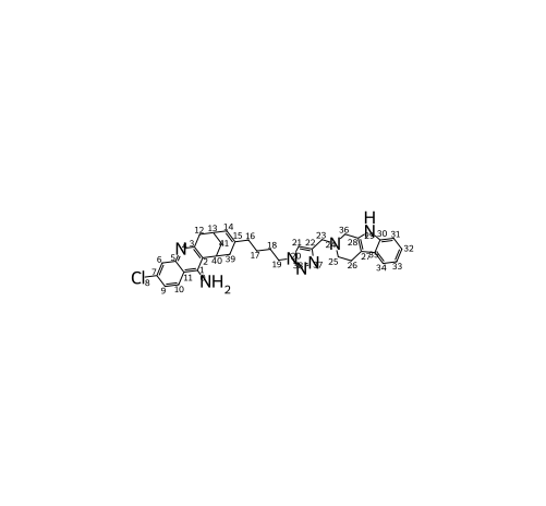 Nc1c2c(nc3cc(Cl)ccc13)CC1C=C(CCCCn3cc(CN4CCc5c([nH]c6ccccc56)C4)nn3)CC2C1